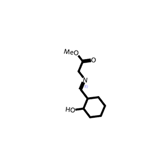 COC(=O)C/N=C/C1CCCCC1O